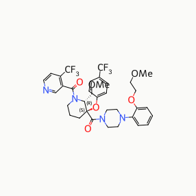 COCCOc1ccccc1N1CCN(C(=O)[C@]2(Oc3ccc(C(F)(F)F)cc3)CCCN(C(=O)c3cnccc3C(F)(F)F)[C@@H]2COC)CC1